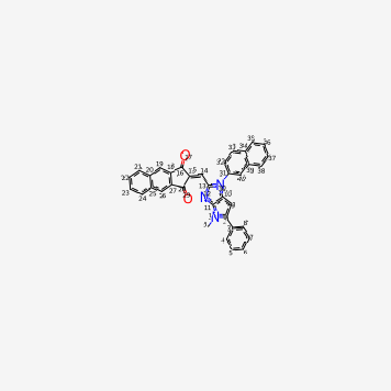 Cn1c(-c2ccccc2)cc2c1nc(C=C1C(=O)c3cc4ccccc4cc3C1=O)n2-c1ccc2ccccc2c1